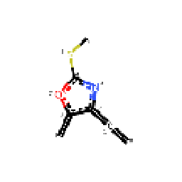 C=C=c1nc(SC)oc1=C